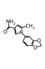 Cc1cc(C(N)=O)cn1-c1ccc2c(c1)OCO2